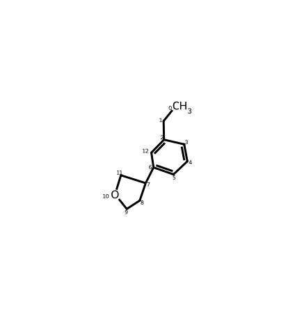 CCc1cccc(C2CCOC2)c1